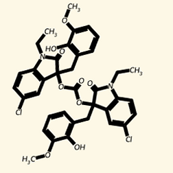 CCN1C(=O)C(Cc2cccc(OC)c2O)(OC(=O)OC2(Cc3cccc(OC)c3O)C(=O)N(CC)c3ccc(Cl)cc32)c2cc(Cl)ccc21